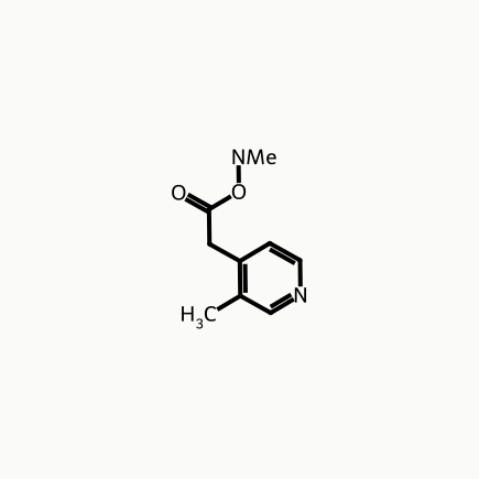 CNOC(=O)Cc1ccncc1C